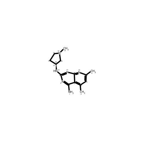 Cc1cc(C)c2c(N)nc(N[C@H]3CCN(C)C3)nc2n1